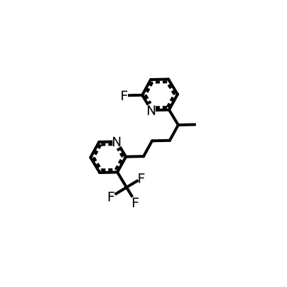 CC(CCCc1ncccc1C(F)(F)F)c1cccc(F)n1